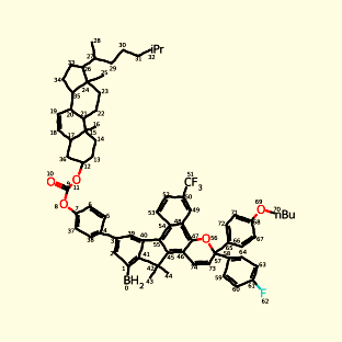 Bc1cc(-c2ccc(OC(=O)OC3CCC4(C)C(C=CC5C4CCC4(C)C(C(C)CCCC(C)C)CCC54)C3)cc2)cc2c1C(C)(C)c1c3c(c4cc(C(F)(F)F)ccc4c1-2)OC(c1ccc(F)cc1)(c1ccc(OCCCC)cc1)C=C3